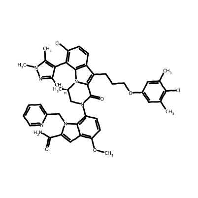 COc1ccc(N2C[C@@H](C)n3c(c(CCCOc4cc(C)c(Cl)c(C)c4)c4ccc(Cl)c(-c5c(C)nn(C)c5C)c43)C2=O)c2c1cc(C(N)=O)n2Cc1ccccn1